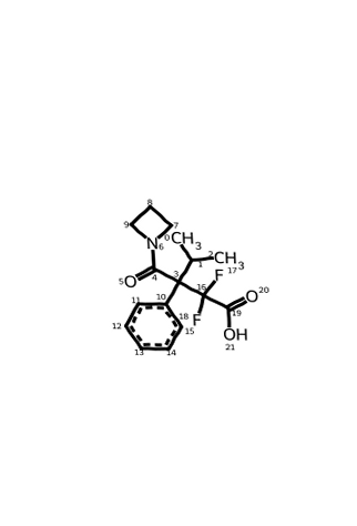 CC(C)C(C(=O)N1CCC1)(c1ccccc1)C(F)(F)C(=O)O